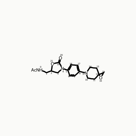 CC(=O)NCC1CN(c2ccc(N3CCC4(CC3)CO4)cc2)C(=O)O1